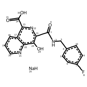 O=C(NCc1ccc(F)cc1)c1nc(C(=O)O)c2cccnc2c1O.[NaH]